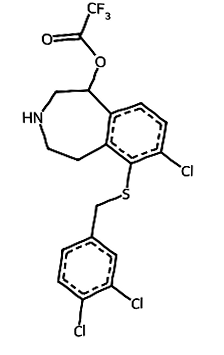 O=C(OC1CNCCc2c1ccc(Cl)c2SCc1ccc(Cl)c(Cl)c1)C(F)(F)F